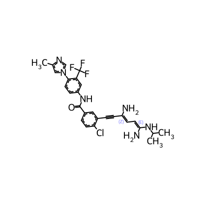 Cc1cn(-c2ccc(NC(=O)c3ccc(Cl)c(C#C/C(N)=C/C=C(\N)NC(C)C)c3)cc2C(F)(F)F)cn1